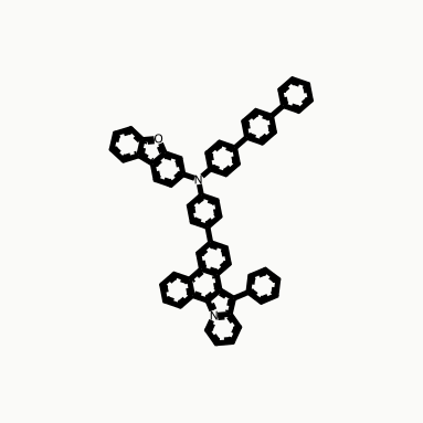 c1ccc(-c2ccc(-c3ccc(N(c4ccc(-c5ccc6c(c5)c5ccccc5c5c6c(-c6ccccc6)c6ccccn65)cc4)c4ccc5c(c4)oc4ccccc45)cc3)cc2)cc1